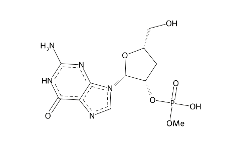 COP(=O)(O)O[C@H]1C[C@@H](CO)O[C@H]1n1cnc2c(=O)[nH]c(N)nc21